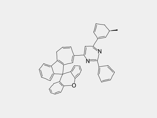 C[C@H]1C=C(c2cc(C3=CC4=C(CC=C3)c3ccccc3C43C4=C(C=CC=CC4)Oc4ccccc43)nc(-c3ccccc3)n2)C=CC1